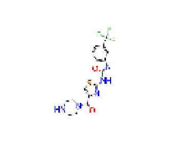 O=C(c1csc(Nc2nc3cc(C(F)(F)F)ccc3o2)n1)N1CCNCC1